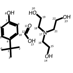 CC(C)(C)c1ccc(O)cc1.O=CO.OCCN(CCO)CCO